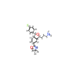 CN(C)CCCC1OC(c2ccc(F)cc2)c2ccc(C3=NC(C)(C)CO3)cc21